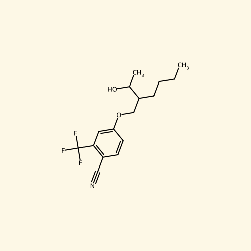 CCCCC(COc1ccc(C#N)c(C(F)(F)F)c1)C(C)O